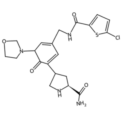 NC(=O)[C@@H]1CC(C2=CC(CNC(=O)c3ccc(Cl)s3)=CC(N3CCOC3)C2=O)CN1